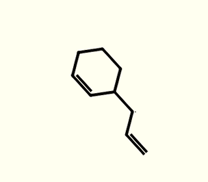 C=C[CH]C1C=CCCC1